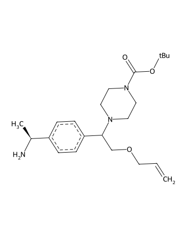 C=CCOCC(c1ccc([C@H](C)N)cc1)N1CCN(C(=O)OC(C)(C)C)CC1